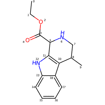 CCOC(=O)C1NCC(C)c2c1[nH]c1ccccc21